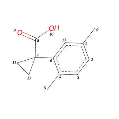 Cc1ccc(C)c(C2(C(=O)O)CC2)c1